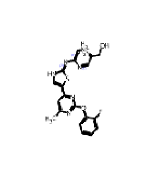 C=C(\C=N/C(=C\N)/N=c1/[nH]cc(-c2cc(C)nc(Oc3ccccc3F)n2)s1)CO